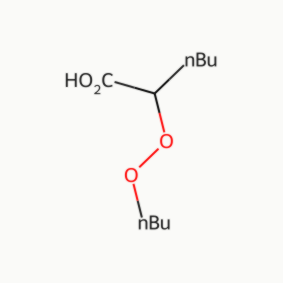 CCCCOOC(CCCC)C(=O)O